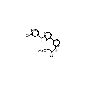 CCC(COC)Nc1cc(-c2ccnc(Nc3ccnc(Cl)c3)n2)ccn1